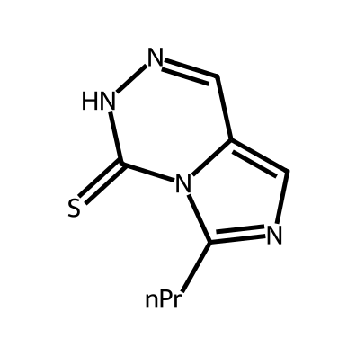 CCCc1ncc2cn[nH]c(=S)n12